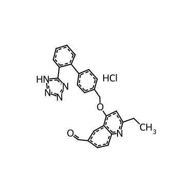 CCc1cc(OCc2ccc(-c3ccccc3-c3nnn[nH]3)cc2)c2cc(C=O)ccc2n1.Cl